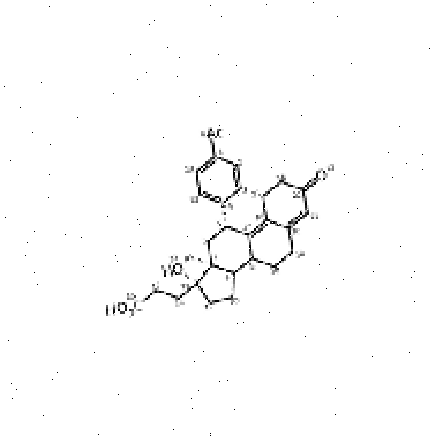 CC(=O)c1ccc([C@H]2C[C@@]3(C)C(CC[C@@]3(O)CCC(=O)O)C3CCC4=CC(=O)CCC4=C32)cc1